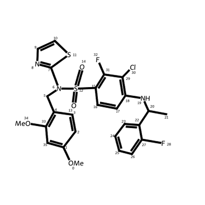 COc1ccc(CN(c2nccs2)S(=O)(=O)c2ccc(NC(C)c3ccccc3F)c(Cl)c2F)c(OC)c1